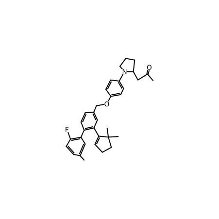 CC(=O)CC1CCCN1c1ccc(OCc2ccc(-c3cc(C)ccc3F)c(C3=CCCC3(C)C)c2)cc1